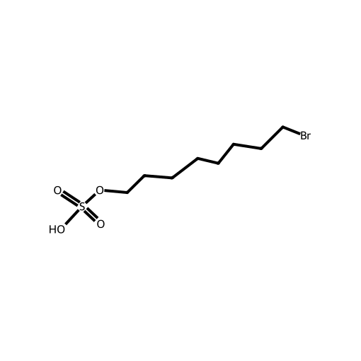 O=S(=O)(O)OCCCCCCCCBr